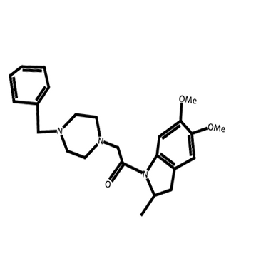 COc1cc2c(cc1OC)N(C(=O)CN1CCN(Cc3ccccc3)CC1)C(C)C2